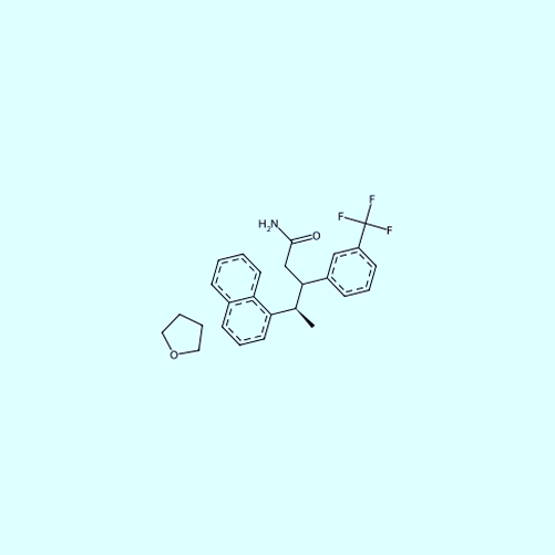 C1CCOC1.C[C@@H](c1cccc2ccccc12)C(CC(N)=O)c1cccc(C(F)(F)F)c1